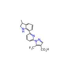 CC1CNc2c(-c3cccc(-n4ncc(C(=O)O)c4C(F)(F)F)n3)cccc21